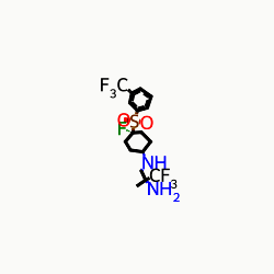 CC(N)(CN[C@H]1CC[C@@](F)(S(=O)(=O)c2cccc(C(F)(F)F)c2)CC1)C(F)(F)F